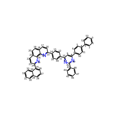 c1ccc(-c2ccc(-c3cc(-c4ccc(-c5ccc6ccc7ccc(-c8cccc9ccccc89)nc7c6n5)cc4)nc(-c4ccccc4)n3)cc2)cc1